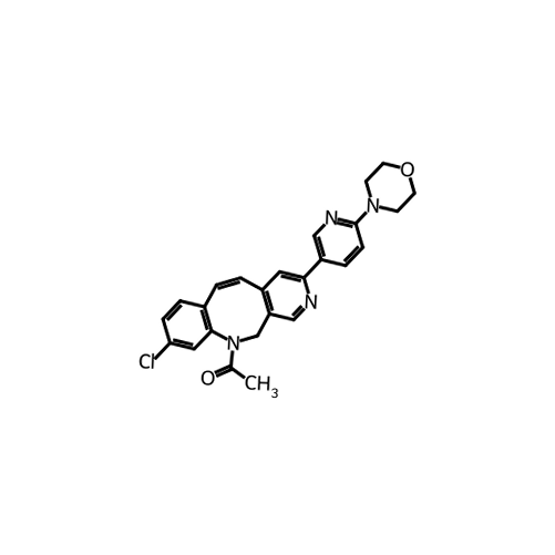 CC(=O)N1Cc2cnc(-c3ccc(N4CCOCC4)nc3)cc2C=Cc2ccc(Cl)cc21